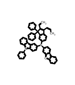 C=CC1=C(/C=C\C)c2ccc(N(c3ccc4c(c3)oc3ccccc34)c3ccc4c(c3)c3ccccc3n4-c3ccccc3)cc2C1(c1ccccc1)c1ccccc1